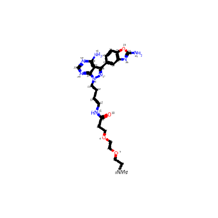 CNCCOCCOCCC(=O)NCCCCn1nc(-c2ccc3oc(N)nc3c2)c2c(N)ncnc21